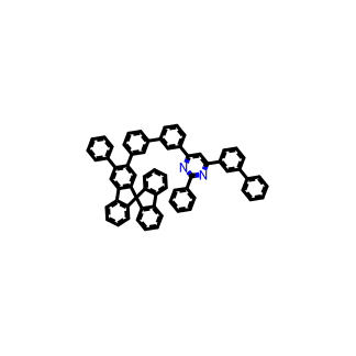 c1ccc(-c2cccc(-c3cc(-c4cccc(-c5cccc(-c6cc7c(cc6-c6ccccc6)-c6ccccc6C76c7ccccc7-c7ccccc76)c5)c4)nc(-c4ccccc4)n3)c2)cc1